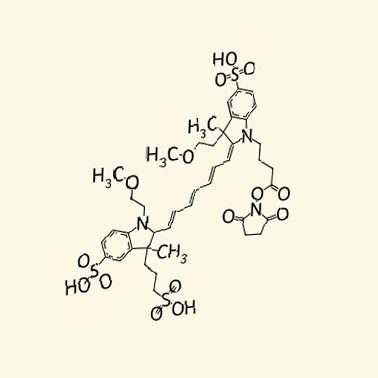 COCCN1c2ccc(S(=O)(=O)O)cc2C(C)(CCCS(=O)(=O)O)C1/C=C/C=C/C=C/C=C1/N(CCCC(=O)ON2C(=O)CCC2=O)c2ccc(S(=O)(=O)O)cc2C1(C)CCOC